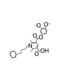 COc1ccc(OC(=O)C2=C(C)N(CCCCc3ccccc3)C(C)C(C(=O)O)=C2)cc1OC